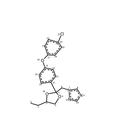 CCC1COC(Cn2cncn2)(c2ccc(Oc3ccc(Cl)cc3)cc2)O1